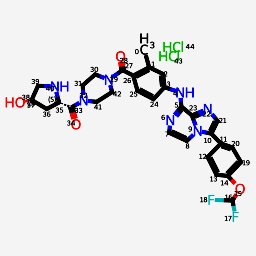 Cc1cc(Nc2nccn3c(-c4ccc(OC(F)F)cc4)cnc23)ccc1C(=O)N1CCN(C(=O)[C@@H]2C[C@H](O)CN2)CC1.Cl.Cl